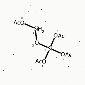 CC(=O)O[SiH2]O[Si](OC(C)=O)(OC(C)=O)OC(C)=O